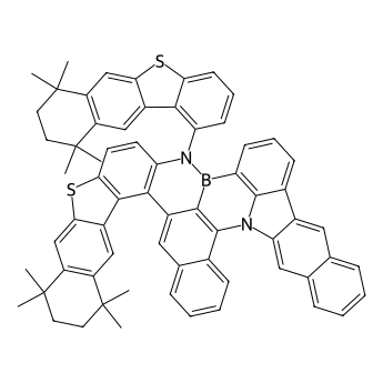 CC1(C)CCC(C)(C)c2cc3c(cc21)sc1cccc(N2B4c5c(cc6ccccc6c5-n5c6cc7ccccc7cc6c6cccc4c65)-c4c2ccc2sc5cc6c(cc5c42)C(C)(C)CCC6(C)C)c13